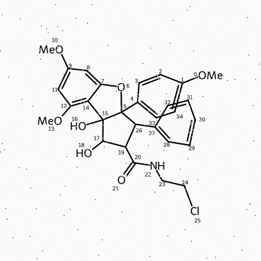 COc1ccc(C23Oc4cc(OC)cc(OC)c4C2(O)C(O)C(C(=O)NCCCl)C3c2ccccc2)cc1